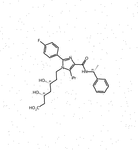 CC(C)c1c(C(=O)N[C@H](C)c2ccccc2)nc(-c2ccc(F)cc2)n1CC[C@@H](O)C[C@@H](O)CC(=O)O